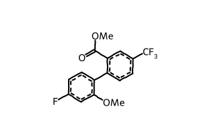 COC(=O)c1cc(C(F)(F)F)ccc1-c1ccc(F)cc1OC